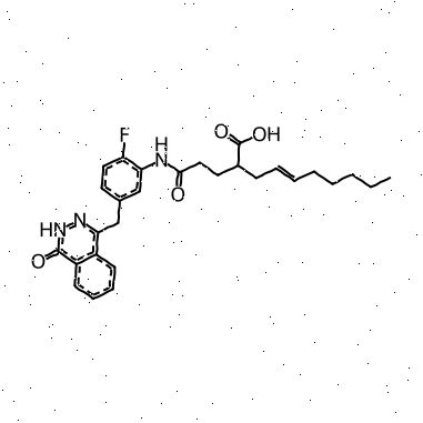 CCCCCC=CCC(CCC(=O)Nc1cc(Cc2n[nH]c(=O)c3ccccc23)ccc1F)C(=O)O